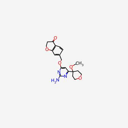 COC1(c2cc(OCc3ccc4c(c3)OCCC4=O)nc(N)n2)CCOCC1